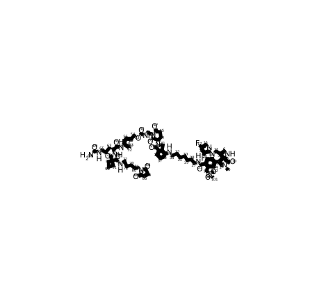 Cn1cc2c3c(c[nH]c3c1=O)CN(c1ncc(F)cc1F)c1cc(C(=O)NCCCCCCCNc3cccc4c3CN(C3CCC(=O)N(CNC(=O)OCc5ccc(NC(=O)[C@H](CCCNC(N)=O)NC(=O)C6(C(=O)NCCCCCN7C(=O)C=CC7=O)CCC6)cc5)C3=O)C4=O)c(CS(C)(=O)=O)cc1-2